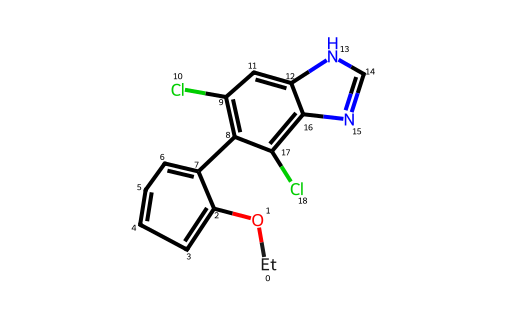 CCOc1ccccc1-c1c(Cl)cc2[nH]cnc2c1Cl